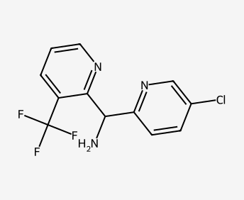 NC(c1ccc(Cl)cn1)c1ncccc1C(F)(F)F